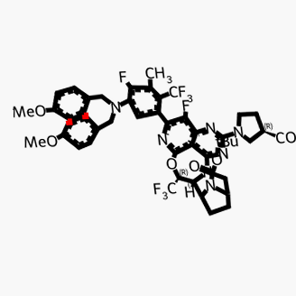 COc1ccc(CN(Cc2ccc(OC)cc2)c2cc(-c3nc4c5c(nc(N6CC[C@@H](C(=O)O)C6)nc5c3F)N3CC5CCC([C@H]3[C@H](C(F)(F)F)O4)N5C(=O)OC(C)(C)C)c(C(F)(F)F)c(C)c2F)cc1